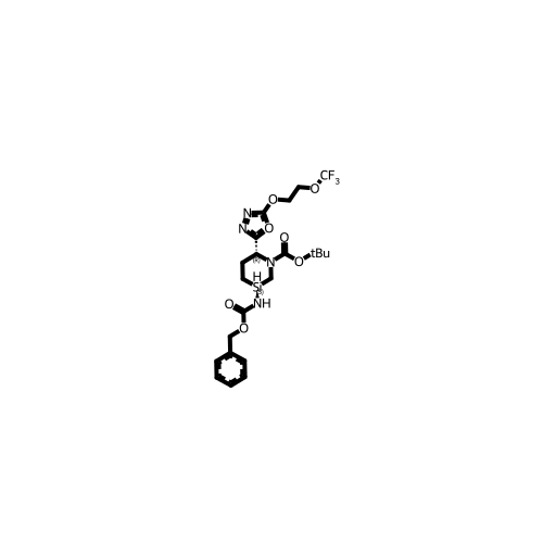 CC(C)(C)OC(=O)N1C[Si@@H](NC(=O)OCc2ccccc2)CC[C@@H]1c1nnc(OCCOC(F)(F)F)o1